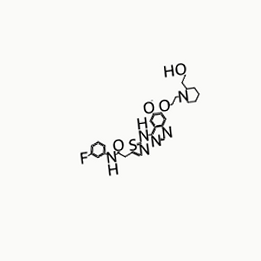 COc1cc2c(Nc3ncc(CC(=O)Nc4cccc(F)c4)s3)ncnc2cc1OCCN1CCCCC1CCO